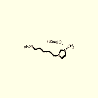 CCCCCCCCCCCCCCN1C=CN(C)C1.O=[N+]([O-])O